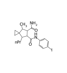 CCCC1C(C(=O)Nc2ccc(I)cc2)C(C(N)=O)C(C)C12CC2